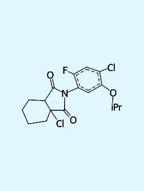 CC(C)Oc1cc(N2C(=O)C3CCCCC3(Cl)C2=O)c(F)cc1Cl